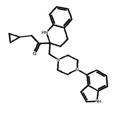 O=C(CC1CC1)C1(CN2CCN(c3cccc4[nH]ccc34)CC2)CCc2ccccc2N1